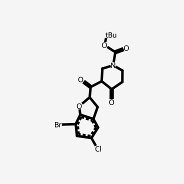 CC(C)(C)OC(=O)N1CCC(=O)C(C(=O)C2Cc3cc(Cl)cc(Br)c3O2)C1